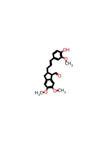 COc1cc(/C=C/CC2Cc3cc(OC)c(OC)cc3C2C=O)ccc1O